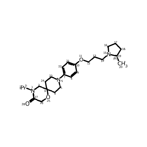 CC(C)N1CC2(CCN(c3ccc(OCCCN4CCC[C@H]4C)cc3)CC2)OCC1=O